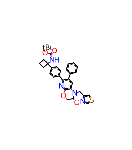 CC(C)(C)OC(=O)NC1(c2ccc(-c3nc4c(cc3-c3ccccc3)N(Cc3cscn3)C(=O)CO4)cc2)CCC1